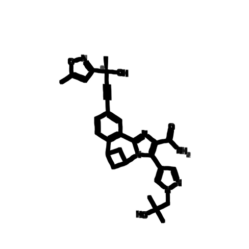 Cc1cc([C@](C)(O)C#Cc2ccc3c(c2)-c2nc(C(N)=O)c(-c4cnn(CC(C)(C)O)c4)n2C2CC3C2)no1